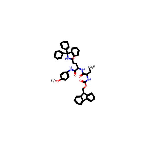 O=C(O)CC(NC(=O)OCC1c2ccccc2-c2ccccc21)C(=O)NC(CCC(=O)NC(c1ccccc1)(c1ccccc1)c1ccccc1)C(=O)Nc1ccc(OC(F)(F)F)cc1